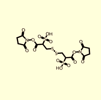 O=C(ON1C(=O)CCC1=O)C(CSSCC(C(=O)ON1C(=O)CCC1=O)S(=O)(=O)O)S(=O)(=O)O